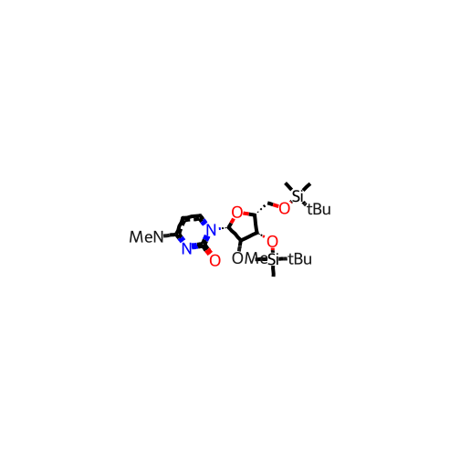 CNc1ccn([C@@H]2O[C@H](CO[Si](C)(C)C(C)(C)C)[C@H](O[Si](C)(C)C(C)(C)C)C2OC)c(=O)n1